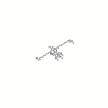 CCCCCCCCSCc1cc(C(C)(C)C)c(O)c(CSCCCCCCCC)c1C